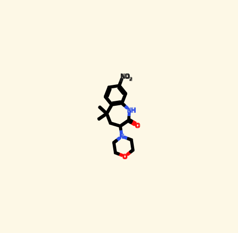 CC1(C)CC(N2CCOCC2)C(=O)Nc2cc([N+](=O)[O-])ccc21